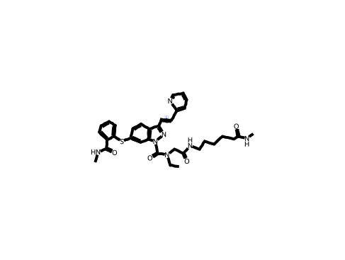 CCN(CC(=O)NCCCCCC(=O)NC)C(=O)n1nc(/C=C/c2ccccn2)c2ccc(Sc3ccccc3C(=O)NC)cc21